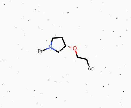 CC(=O)CCO[C@H]1CCN(C(C)C)C1